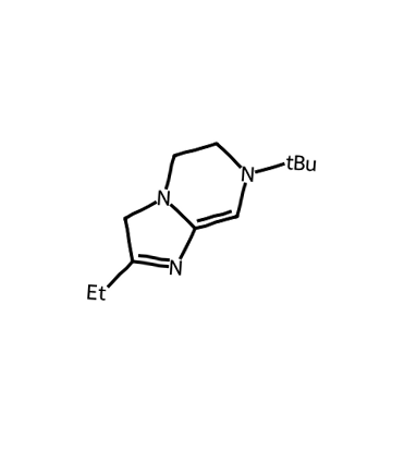 CCC1=NC2=CN(C(C)(C)C)CCN2C1